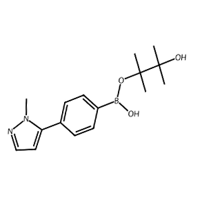 Cn1nccc1-c1ccc(B(O)OC(C)(C)C(C)(C)O)cc1